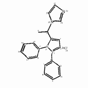 CC(C1=CC=S(c2ccccc2)N1c1ccccc1)n1ccnc1.Cl